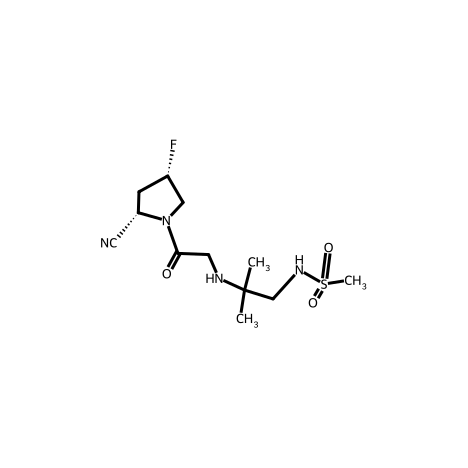 CC(C)(CNS(C)(=O)=O)NCC(=O)N1C[C@@H](F)C[C@H]1C#N